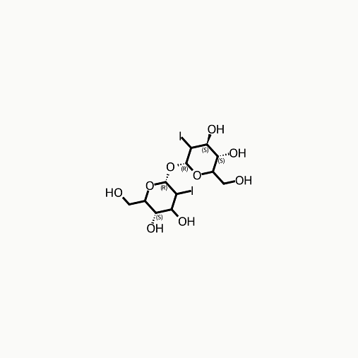 OCC1O[C@H](O[C@H]2OC(CO)[C@@H](O)[C@H](O)C2I)C(I)C(O)[C@@H]1O